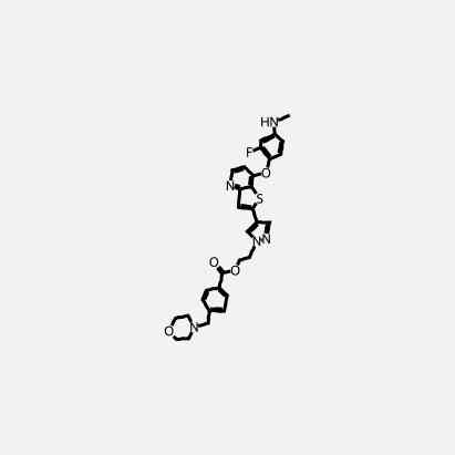 CNc1ccc(Oc2ccnc3cc(-c4cnn(CCOC(=O)c5ccc(CN6CCOCC6)cc5)c4)sc23)c(F)c1